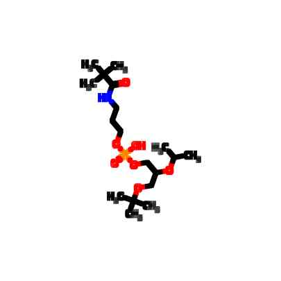 CC(C)OC(COC(C)(C)C)COP(=O)(O)OCCCNC(=O)C(C)(C)C